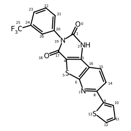 O=c1[nH]c2c(sc3nc(-c4cccs4)ccc32)c(=O)n1-c1cccc(C(F)(F)F)c1